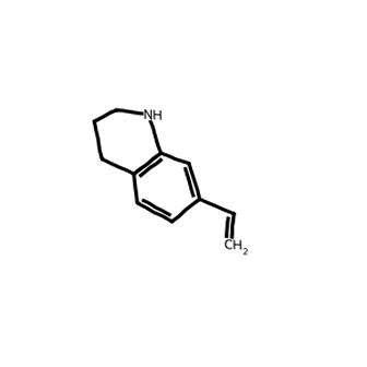 C=Cc1ccc2c(c1)NCCC2